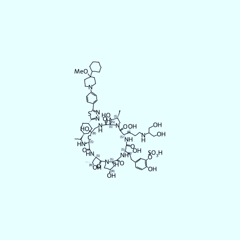 COC1(C2CCCCC2)CCN(c2ccc(-c3nnc([C@H]4CC[C@H](C(C)N[C@H]5C[C@@H](O)CNC(=O)[C@@H]6[C@@H](O)[C@@H](C)CN6C(=O)[C@H]([C@H](O)CCNC(CO)CO)NC(=O)[C@H]([C@H](O)Cc6ccc(O)c(OS(=O)(=O)O)c6)NC(=O)[C@@H]6C[C@@H](O)CN6C(=O)[C@H]([C@@H](C)O)NC5=O)CC4)s3)cc2)CC1